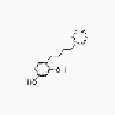 Oc1ccc(CCCCc2ccccc2)c(O)c1